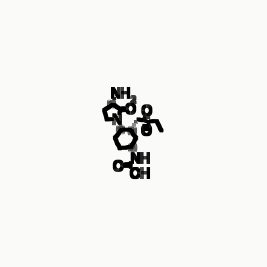 CCS(=O)(=O)C[C@@H]1C[C@H](NC(=O)O)CC[C@@H]1N1CC[C@H](N)C1=O